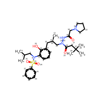 CC(C)CN(c1cccc(C[C@@H](C)CN(NC(=O)CN2CCCC2)C(=O)CC(C)(C)C)c1O)S(=O)(=O)c1ccccc1